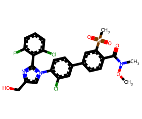 CON(C)C(=O)c1ccc(-c2ccc(-n3cc(CO)nc3-c3c(F)cccc3Cl)c(Cl)c2)cc1S(C)(=O)=O